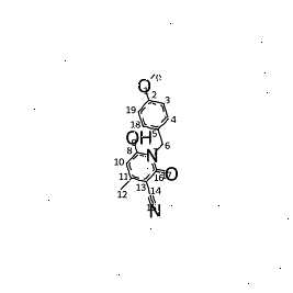 COc1ccc(Cn2c(O)cc(C)c(C#N)c2=O)cc1